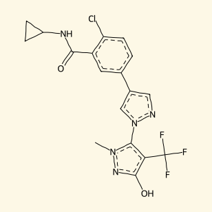 Cn1nc(O)c(C(F)(F)F)c1-n1cc(-c2ccc(Cl)c(C(=O)NC3CC3)c2)cn1